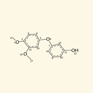 COc1ccc(Oc2cccc(O)c2)cc1OC